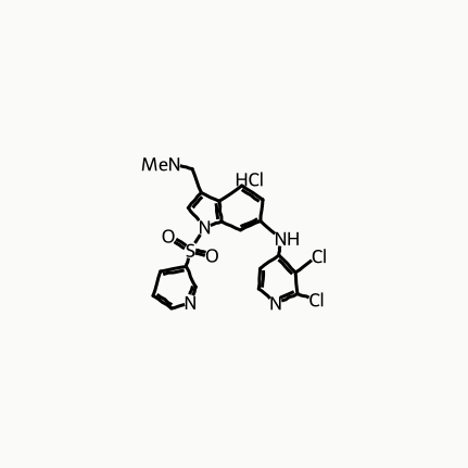 CNCc1cn(S(=O)(=O)c2cccnc2)c2cc(Nc3ccnc(Cl)c3Cl)ccc12.Cl